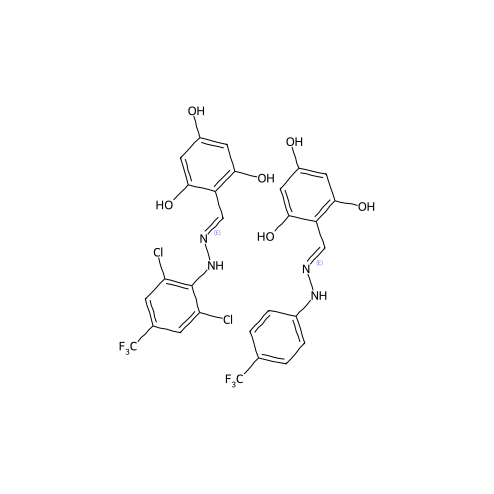 Oc1cc(O)c(/C=N/Nc2c(Cl)cc(C(F)(F)F)cc2Cl)c(O)c1.Oc1cc(O)c(/C=N/Nc2ccc(C(F)(F)F)cc2)c(O)c1